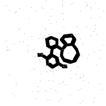 N#Cc1cnc(C#N)c(C2=C(N3C/C=C\C=C/Cc4ccccc43)CCC=C2)c1